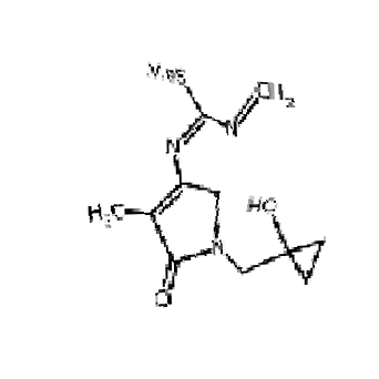 C=N/C(=N\C1=C(C)C(=O)N(CC2(O)CC2)C1)SC